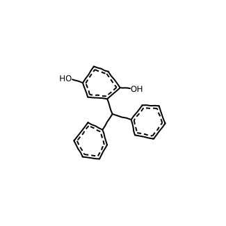 Oc1ccc(O)c(C(c2ccccc2)c2ccccc2)c1